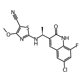 COc1nc(N[C@@H](C)c2cc3cc(Cl)cc(F)c3[nH]c2=O)sc1C#N